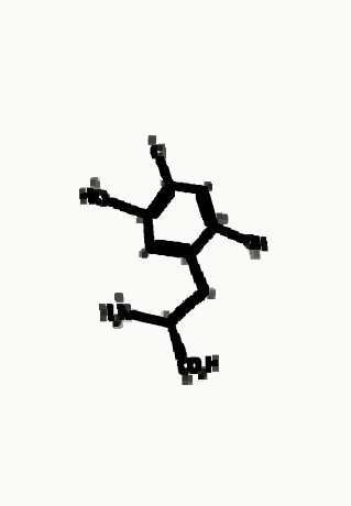 N[C@@H](Cc1cc(O)c(Cl)cc1O)C(=O)O